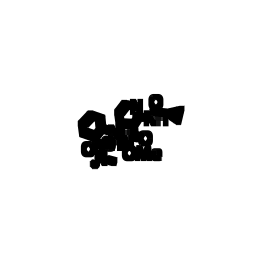 CONC(=O)c1c(Nc2ccccc2S(=O)(=O)N(C)C)ccnc1NC(=O)C1CC1